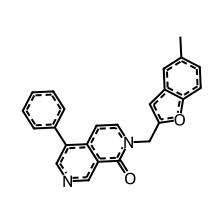 Cc1ccc2oc(Cn3ccc4c(-c5ccccc5)cncc4c3=O)cc2c1